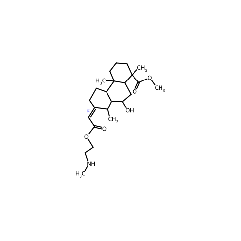 CNCCOC(=O)/C=C1/CCC2C(C(O)CC3C(C)(C(=O)OC)CCCC23C)C1C